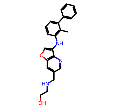 Cc1c(Nc2coc3cc(CNCCO)cnc23)cccc1-c1ccccc1